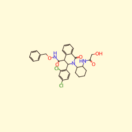 O=C(CO)NC1CCCCC1N1C(=O)c2ccccc2C(C(=O)NOCc2ccccc2)C1c1ccc(Cl)cc1Cl